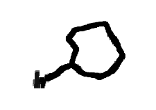 [In][CH]1CCCC1